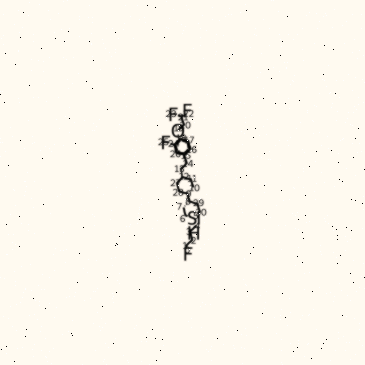 FCCCC[Si@H]1CC[C@H]([C@H]2CC[C@H](CCc3ccc(OCC(F)F)c(F)c3)CC2)CC1